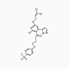 Cn1nccc1-c1cc(OCC=C(Cl)Cl)cc(Cl)c1OCCCOc1ccc(C(F)(F)F)cn1